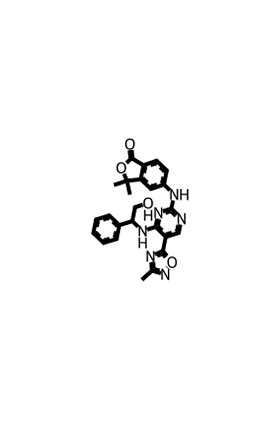 Cc1noc(-c2cnc(Nc3ccc4c(c3)C(C)(C)OC4=O)nc2NC(CO)c2ccccc2)n1